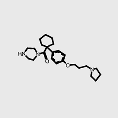 O=C(N1CCNCC1)C1(c2ccc(OCCCN3CCCC3)cc2)CCCCC1